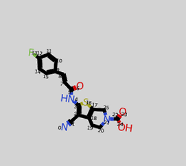 N#Cc1c(NC(=O)C=Cc2ccc(F)cc2)sc2c1CCN(C(=O)O)C2